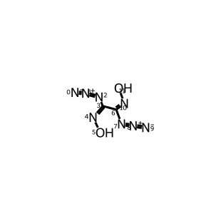 [N-]=[N+]=NC(=N/O)/C(N=[N+]=[N-])=N\O